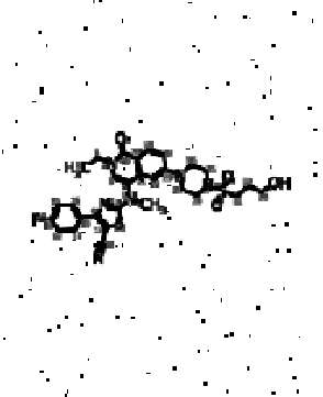 CCn1cc(N(C)c2nc(-c3ccc(F)cc3)c(C#N)s2)c2cc(N3CCN(S(=O)(=O)CCCO)CC3)ccc2c1=O